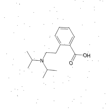 CC(C)N(CCc1ccccc1C(=O)O)C(C)C